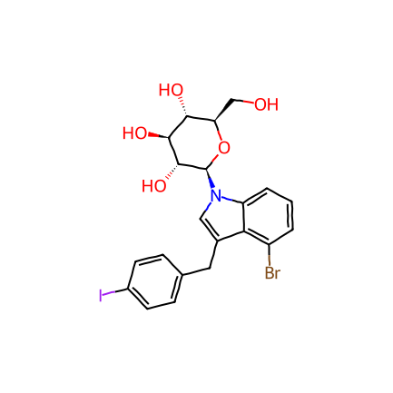 OC[C@H]1O[C@@H](n2cc(Cc3ccc(I)cc3)c3c(Br)cccc32)[C@H](O)[C@@H](O)[C@@H]1O